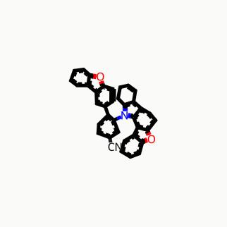 N#Cc1ccc(-c2c#cc3oc4ccccc4c3c2)c(-n2c3c(c4ccc5oc6ccccc6c5c42)C=CCC3)c1